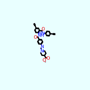 C#Cc1ccc(NC(=O)c2cc(C#C)ccc2NC(=O)c2ccc(/N=C/N3CCC(C(=O)OC)CC3)cc2)cc1